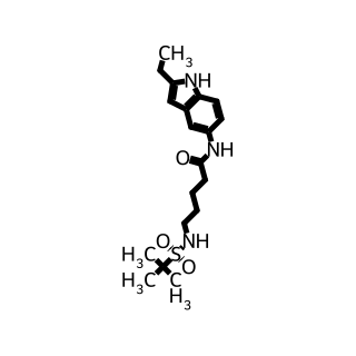 CCc1cc2cc(NC(=O)CCCCNS(=O)(=O)C(C)(C)C)ccc2[nH]1